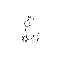 Cc1ccc(C)c(-n2nnnc2SCc2ccc(N)cc2)c1